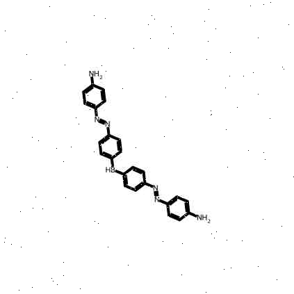 Nc1ccc(/N=N/c2ccc(Bc3ccc(/N=N/c4ccc(N)cc4)cc3)cc2)cc1